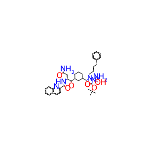 CC(C)(C)OC(=O)[N@@+](N)(O)N(CCCCc1ccccc1)CC1CCC[C@H](C(=O)[C@H](CC(N)=O)NC(=O)c2ccc3ccccc3n2)C1